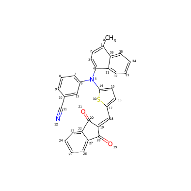 Cc1ccc(N(c2cccc(C#N)c2)c2ccc(C=C3C(=O)c4ccccc4C3=O)s2)c2ccccc12